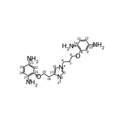 Cn1c[n+](CCCOc2cc(N)ccc2N)cc1CCOc1cc(N)ccc1N